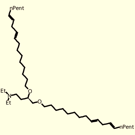 CCCCCC=CCC=CCCCCCCCCOC[C@@H](CCN(CC)CC)OCCCCCCCCC=CCC=CCCCCC